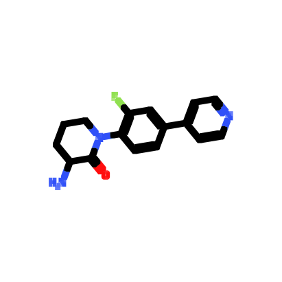 NC1CCCN(c2ccc(-c3ccncc3)cc2F)C1=O